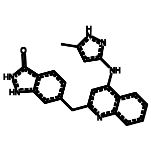 Cc1cc(Nc2cc(Cc3ccc4c(=O)[nH][nH]c4c3)nc3ccccc23)n[nH]1